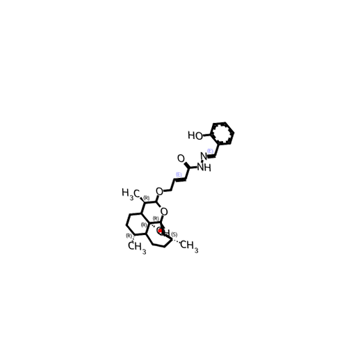 C[C@H]1C(OC/C=C/C(=O)N/N=C/c2ccccc2O)O[C@@H]2C[C@]3(C)CCC4[C@H](C)CCC1[C@]42OO3